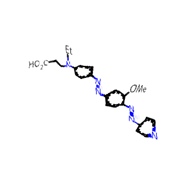 CCN(CCC(=O)O)c1ccc(/N=N/c2ccc(/N=N/c3ccncc3)c(OC)c2)cc1